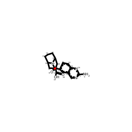 Nc1ncc2cc(C(=O)N3C4CCCC3CC(C(=O)O)C4)ccc2n1